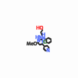 COC1=NC(NCCCO)(Nc2ccccc2)N(Cl)C(c2ccncc2)=C1